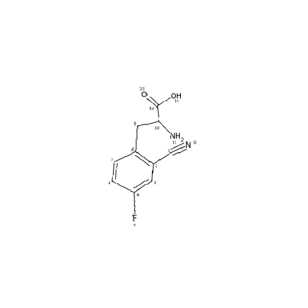 N#Cc1cc(F)ccc1CC(N)C(=O)O